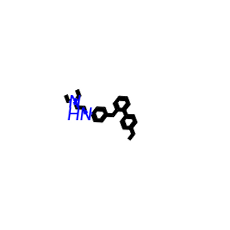 CCc1ccc(-c2ccccc2Cc2ccc(NCCN(CC)CC)cc2)cc1